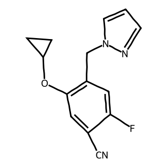 N#Cc1cc(OC2CC2)c(Cn2cccn2)cc1F